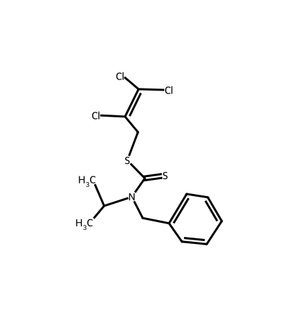 CC(C)N(Cc1ccccc1)C(=S)SCC(Cl)=C(Cl)Cl